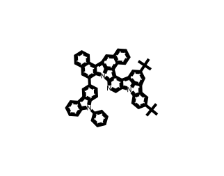 CC(C)(C)c1ccc2c(c1)c1cc(C(C)(C)C)cc3c4c5c6c7ccccc7cc7c8c9ccccc9cc(-c9ccc%10c(c9)c9ccccc9n%10-c9ccccc9)c8n(c5ncc4n2c13)c76